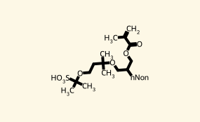 C=C(C)C(=O)OCC(CCCCCCCCC)COC(C)(C)CCOC(C)(C)S(=O)(=O)O